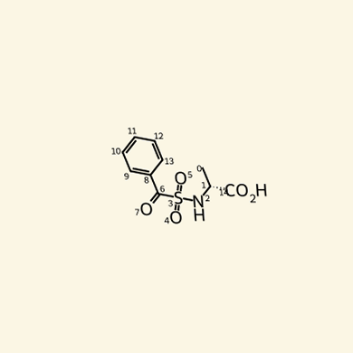 C[C@@H](NS(=O)(=O)C(=O)c1ccccc1)C(=O)O